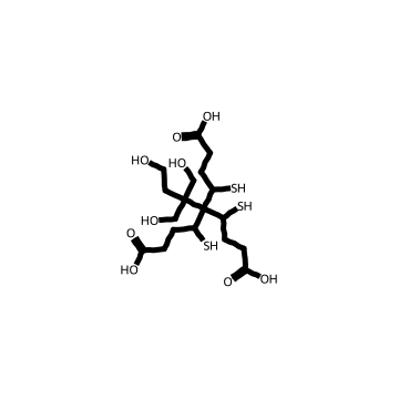 O=C(O)CCC(S)C(C(S)CCC(=O)O)(C(S)CCC(=O)O)C(CO)(CO)CCO